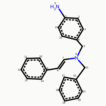 Nc1ccc(CN(C=Cc2ccccc2)Cc2ccccc2)cc1